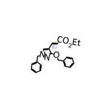 CCOC(=O)/C=C/c1cn(Cc2ccccc2)nc1OCc1ccccc1